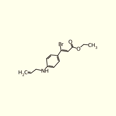 C=CCNc1ccc(C(Br)=CC(=O)OCC)cc1